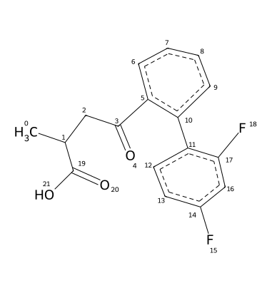 CC(CC(=O)c1ccccc1-c1ccc(F)cc1F)C(=O)O